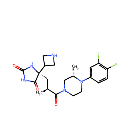 C[C@@H](C[C@@]1(C2CNC2)NC(=O)NC1=O)C(=O)N1CCN(c2ccc(F)c(F)c2)[C@@H](C)C1